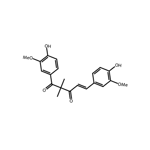 COc1cc(C=CC(=O)C(C)(C)C(=O)c2ccc(O)c(OC)c2)ccc1O